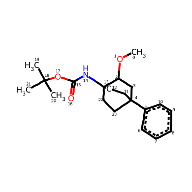 COC1CC2(c3ccccc3)CCC1(NC(=O)OC(C)(C)C)CC2